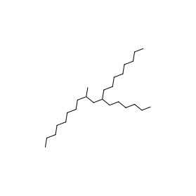 CCCCCCCCC(C)CC(CCCCCC)CCCCCCCC